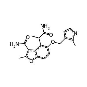 Cc1oc2ccc(OCc3ccnn3C)c(C(C)C(N)=O)c2c1C(N)=O